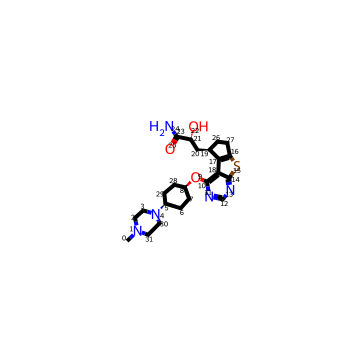 CN1CCN([C@H]2CC[C@H](Oc3ncnc4sc5c(c34)[C@@H](C[C@@H](O)C(N)=O)CC5)CC2)CC1